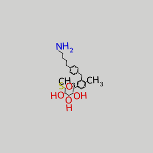 CS[C@H]1O[C@@H](c2ccc(C)c(Cc3ccc(CCCCCN)cc3)c2)[C@H](O)[C@@H](O)[C@@H]1O